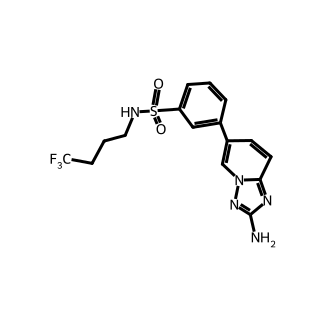 Nc1nc2ccc(-c3cccc(S(=O)(=O)NCCCC(F)(F)F)c3)cn2n1